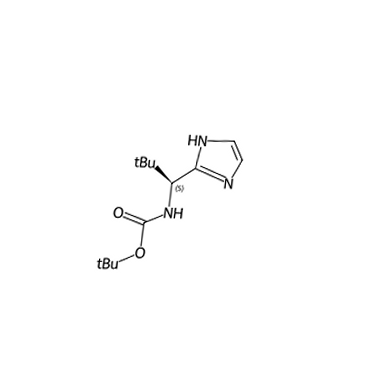 CC(C)(C)OC(=O)N[C@H](c1ncc[nH]1)C(C)(C)C